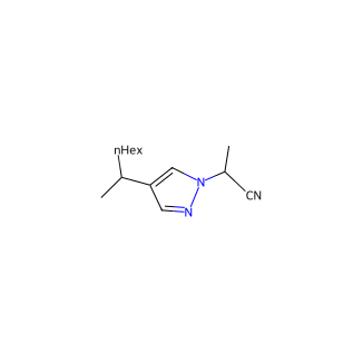 CCCCCCC(C)c1cnn(C(C)C#N)c1